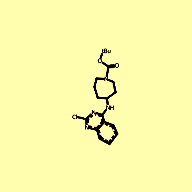 CC(C)(C)OC(=O)N1CCCC(Nc2nc(Cl)nc3ccccc23)CC1